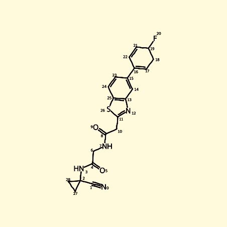 N#CC1(NC(=O)CNC(=O)Cc2nc3cc(C4=CCC(F)C=C4)ccc3s2)CC1